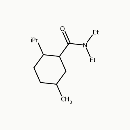 CCN(CC)C(=O)C1CC(C)CCC1C(C)C